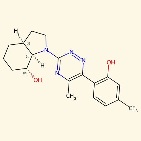 Cc1nc(N2CC[C@@H]3CCC[C@@H](O)[C@@H]32)nnc1-c1ccc(C(F)(F)F)cc1O